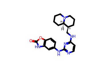 O=c1[nH]c2cc(Nc3nccc(NC[C@@H]4CCCN5CCCC[C@H]45)n3)ccc2o1